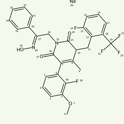 COc1cccc(C2=C(C)C(Cc3c(F)cccc3C(F)(F)F)C(=O)N(CC(=NO)c3ccccc3)C2=O)c1F.[Na]